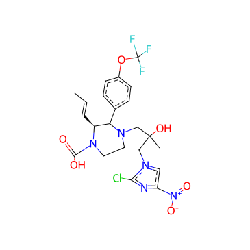 CC=C[C@H]1C(c2ccc(OC(F)(F)F)cc2)N(CC(C)(O)Cn2cc([N+](=O)[O-])nc2Cl)CCN1C(=O)O